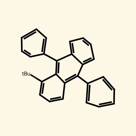 CC(C)(C)c1cccc2c(-c3ccccc3)c3ccccc3c(-c3ccccc3)c12